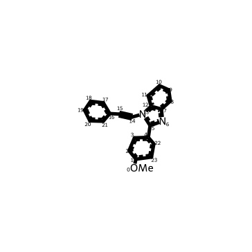 COc1ccc(-c2nc3ccccc3n2C#Cc2ccccc2)cc1